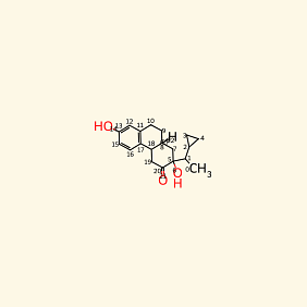 CC(C1CC1)C1(O)C[C@H]2CCc3cc(O)ccc3C2CC1=O